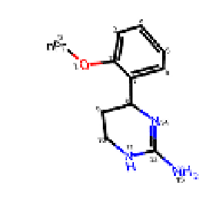 CCCOc1ccccc1C1CCNC(N)=N1